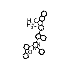 CC1(C)c2cc(-c3ccc(-c4cc(-c5cccc6c5oc5ccccc56)nc(-c5ccccc5)n4)c4ccccc34)ccc2-c2cc3ccccc3cc21